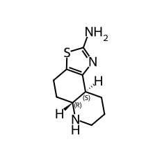 Nc1nc2c(s1)CC[C@H]1NCCC[C@H]21